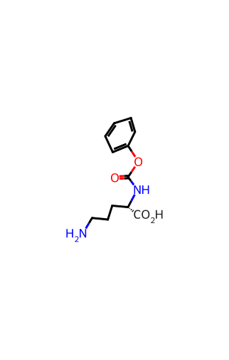 NCCC[C@H](NC(=O)Oc1ccccc1)C(=O)O